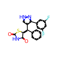 O=C1NC(=O)C(=C(c2ccccc2)c2c[nH]nc2-c2cc(F)cc(F)c2)S1